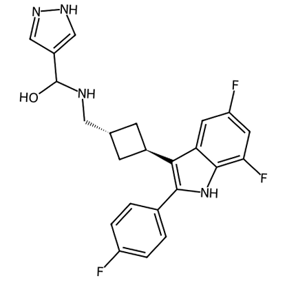 OC(NC[C@H]1C[C@H](c2c(-c3ccc(F)cc3)[nH]c3c(F)cc(F)cc32)C1)c1cn[nH]c1